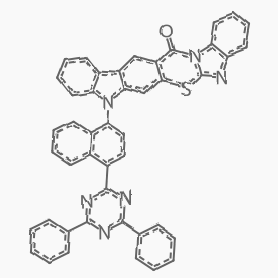 O=c1c2cc3c4ccccc4n(-c4ccc(-c5nc(-c6ccccc6)nc(-c6ccccc6)n5)c5ccccc45)c3cc2sc2nc3ccccc3n12